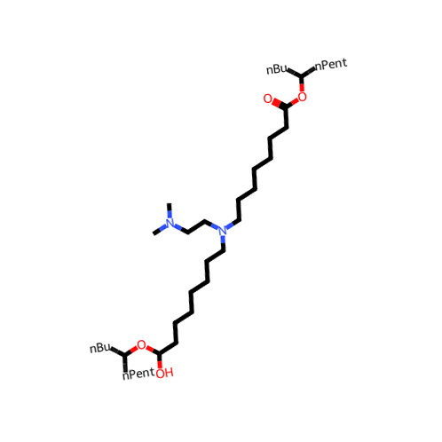 CCCCCC(CCCC)OC(=O)CCCCCCCN(CCCCCCCC(O)OC(CCCC)CCCCC)CCN(C)C